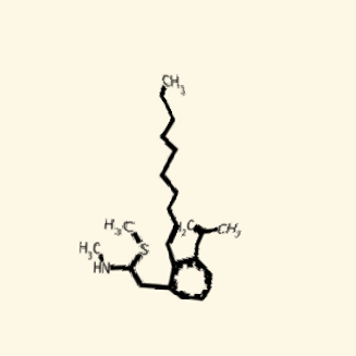 C=C(C)c1cccc(CC(NC)SC)c1/C=C/CCCCCCCC